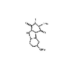 COC1CCC2NC3C(=O)C(C)C(OC)C(=O)C3C2C1